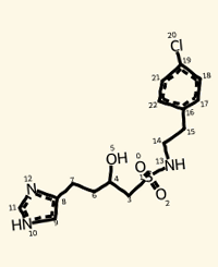 O=S(=O)(CC(O)CCc1c[nH]cn1)NCCc1ccc(Cl)cc1